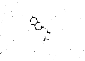 C/N=C(\C)OC(=N)Nc1ccc2ncc(Br)cc2n1